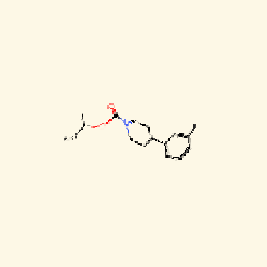 CCc1cccc(C2CCN(C(=O)OC(C)OC(C)=O)CC2)c1